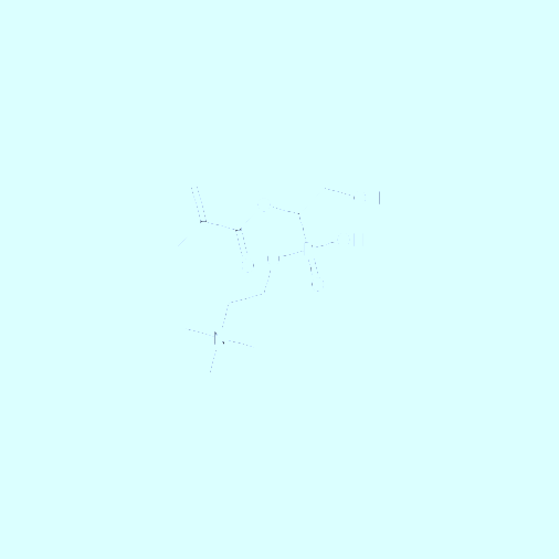 C=C(C)C(=O)OC(CO)P(=O)(O)OCC[N+](C)(C)C